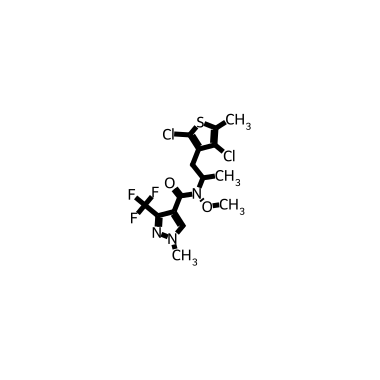 CON(C(=O)c1cn(C)nc1C(F)(F)F)C(C)Cc1c(Cl)sc(C)c1Cl